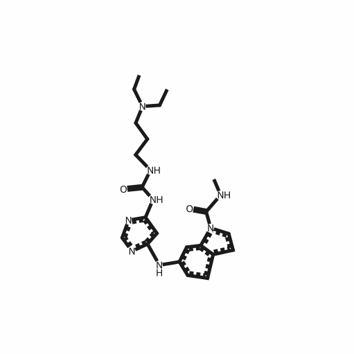 CCN(CC)CCCNC(=O)Nc1cc(Nc2ccc3ccn(C(=O)NC)c3c2)ncn1